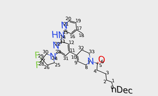 CCCCCCCCCCCCCCC(=O)N1CC=C(c2cc(Nc3cc(C)ccn3)nc(N3CCC(F)(F)C3)c2)CC1